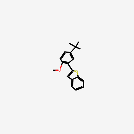 COc1ccc(C(C)(C)C)cc1-c1cc2ccccc2s1